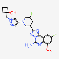 COc1cc(F)cc2c1nc(N)n1nc(C3CC(F)CN(c4cnn(CC5(O)CCC5)c4)C3)nc21